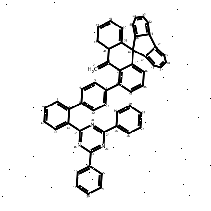 C=C1c2c(-c3ccc(-c4ccccc4-c4nc(-c5ccccc5)nc(-c5ccccc5)n4)cc3)cccc2C2(C3=CC=CCC13)c1ccccc1-c1ccccc12